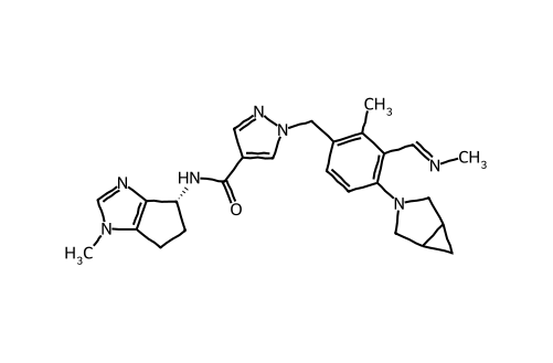 C/N=C/c1c(N2CC3CC3C2)ccc(Cn2cc(C(=O)N[C@@H]3CCc4c3ncn4C)cn2)c1C